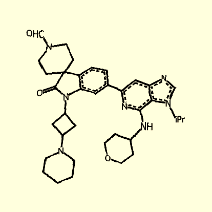 CC(C)n1cnc2cc(-c3ccc4c(c3)N(C3CC(N5CCCCC5)C3)C(=O)C43CCN(C=O)CC3)nc(NC3CCOCC3)c21